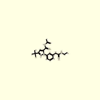 C=C(C)OC(=O)c1cc(C(C)(C)C)nn1-c1cccc(CC(=O)OCC)c1